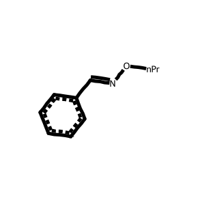 CCCON=Cc1c[c]ccc1